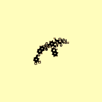 CCCCN(CCCC)C(=O)c1nn(-c2ccc(C(=O)NS(=O)(=O)c3ccc4ccc(OCc5ccc(Cl)c(Cl)c5)cc4c3)cc2C(=O)N2CCc3ccccc3C2)c(C)c1Cl